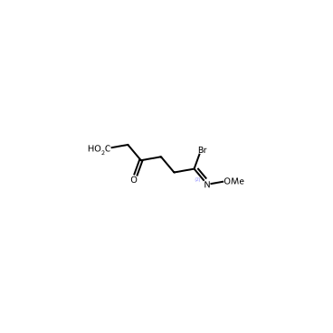 CO/N=C(\Br)CCC(=O)CC(=O)O